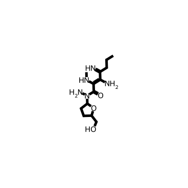 CCCC(=N)/C(N)=C(\NC)C(=O)N(N)C1CCC(CO)O1